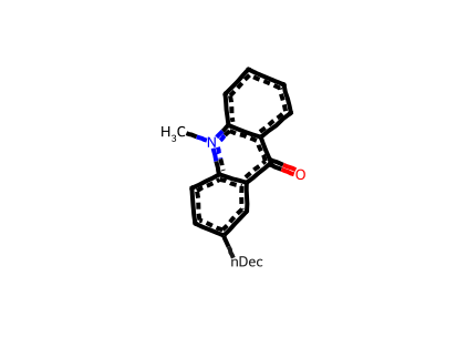 CCCCCCCCCCc1ccc2c(c1)c(=O)c1ccccc1n2C